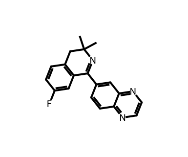 CC1(C)Cc2ccc(F)cc2C(c2ccc3nccnc3c2)=N1